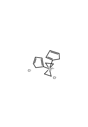 C1=CC[C]([Hf+2]23([C]4=CC=CC4)([CH2][CH2]2)[CH2][CH2]3)=C1.[Cl-].[Cl-]